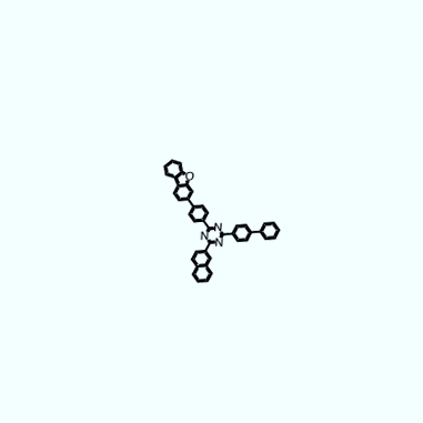 c1ccc(-c2ccc(-c3nc(-c4ccc(-c5ccc6c(c5)oc5ccccc56)cc4)nc(-c4ccc5ccccc5c4)n3)cc2)cc1